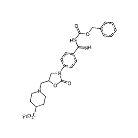 CCOC(=O)C1CCN(CC2CN(c3ccc(C(=N)NC(=O)OCc4ccccc4)cc3)C(=O)O2)CC1